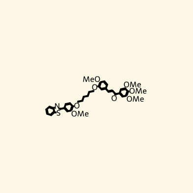 COc1cc(-c2nc3ccccc3s2)ccc1OCCCCCCOc1cc(/C=C/C(=O)c2cc(OC)c(OC)c(OC)c2)ccc1OC